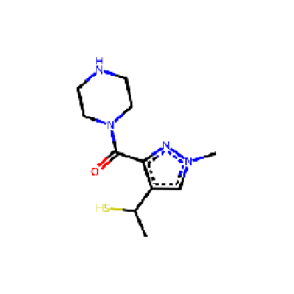 CC(S)c1cn(C)nc1C(=O)N1CCNCC1